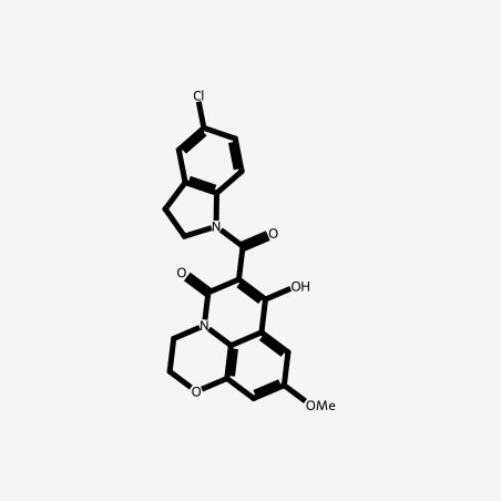 COc1cc2c3c(c1)c(O)c(C(=O)N1CCc4cc(Cl)ccc41)c(=O)n3CCO2